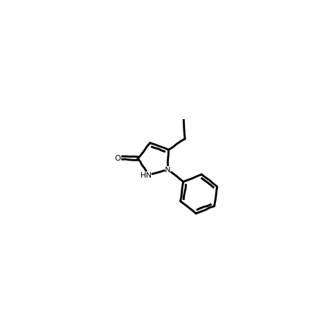 CCc1cc(=O)[nH]n1-c1ccccc1